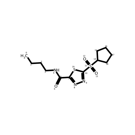 CCCCNC(=O)c1nnc(S(=O)(=O)C2CCCC2)s1